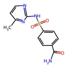 Cc1ccnc(NS(=O)(=O)c2ccc(C(N)=O)cc2)n1